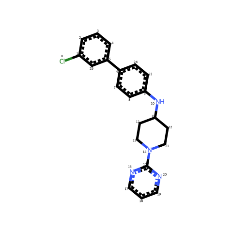 Clc1cccc(-c2ccc(NC3CCN(c4ncccn4)CC3)cc2)c1